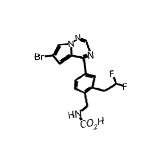 O=C(O)NCc1ccc(-c2ncnn3cc(Br)cc23)cc1CC(F)F